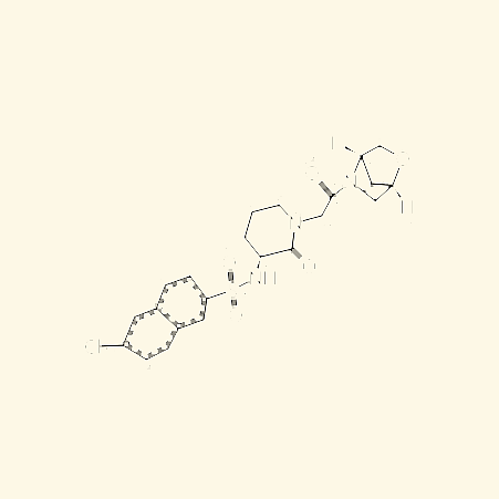 O=C1[C@@H](NS(=O)(=O)c2ccc3cc(Cl)ccc3c2)CCCN1CC(=O)N1C[C@@H]2C[C@H]1CO2